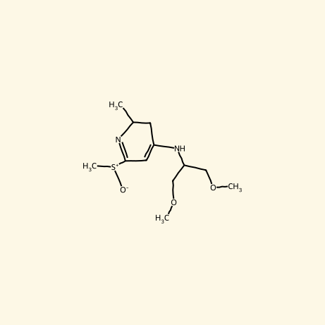 COCC(COC)NC1=CC([S+](C)[O-])=NC(C)C1